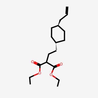 C=CC[C@H]1CC[C@H](CCC(C(=O)OCC)C(=O)OCC)CC1